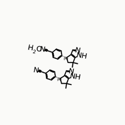 CC1(C)C[C@H](c2ccc(C#N)cc2)c2cn[nH]c21.CC1(C)C[C@H](c2ccc(C#N)cc2)c2cn[nH]c21.O